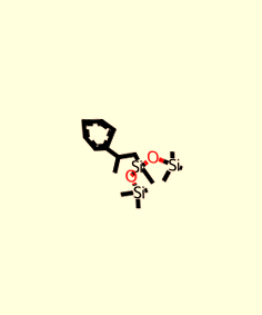 CC(C[Si](C)(O[Si](C)(C)C)O[Si](C)(C)C)c1ccccc1